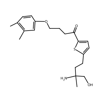 Cc1ccc(OCCCC(=O)c2ccc(CCC(C)(N)CO)s2)cc1C